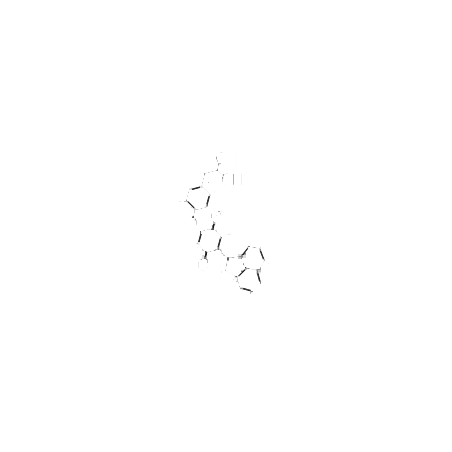 CC(C)Cc1ccc(OC2=CC(=O)C(C3Cc4cccc5cccc3c45)=CC2=O)cc1